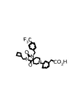 O=C(O)Cc1cccc(N2CCC3(CC2)C(=O)N(CC2CCC2)C(=O)N3Cc2ccc(C(F)(F)F)cc2)c1